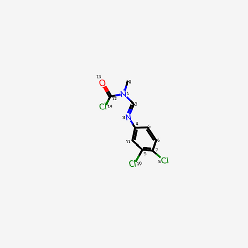 CN(C=Nc1ccc(Cl)c(Cl)c1)C(=O)Cl